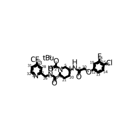 CC(C)(C)OC(=O)N1C[C@@H](NC(=O)COc2ccc(Cl)c(F)c2)CC[C@@H]1C(=O)NCc1cc(C(F)(F)F)ccn1